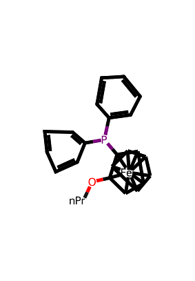 CCCO[C]12[CH]3[CH]4[CH]5[C]1(P(c1ccccc1)c1ccccc1)[Fe]43521678[CH]2[CH]1[CH]6[CH]7[CH]28